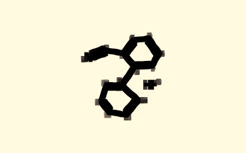 F.N#Cc1ccccc1-c1ccccc1